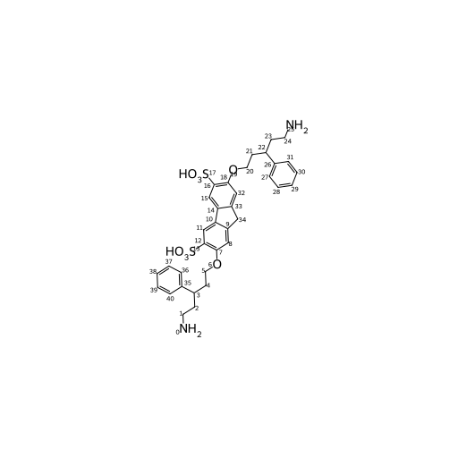 NCCC(CCOc1cc2c(cc1S(=O)(=O)O)-c1cc(S(=O)(=O)O)c(OCCC(CCN)c3ccccc3)cc1C2)c1ccccc1